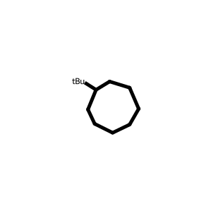 CC(C)(C)C1CCCCCCC1